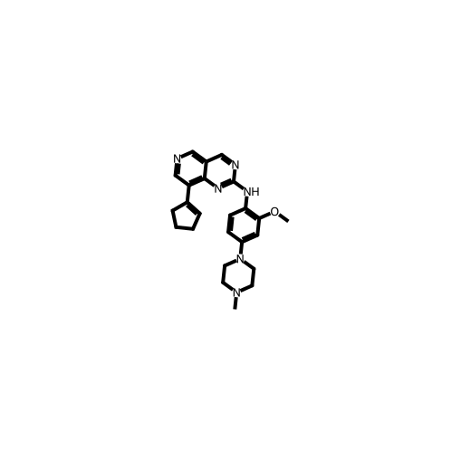 COc1cc(N2CCN(C)CC2)ccc1Nc1ncc2cncc(C3=CCCC3)c2n1